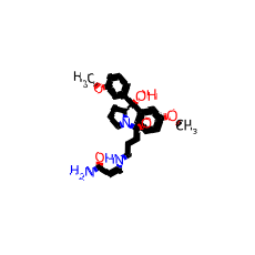 COc1cccc(C(O)(c2cccc(OC)c2)[C@@H]2CCCN2C(=O)CCCN/C=C\C(N)=O)c1